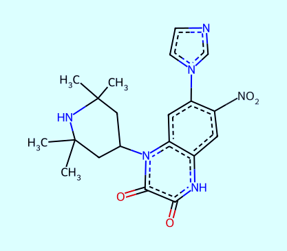 CC1(C)CC(n2c(=O)c(=O)[nH]c3cc([N+](=O)[O-])c(-n4ccnc4)cc32)CC(C)(C)N1